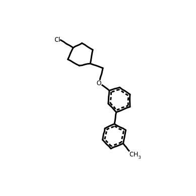 Cc1cccc(-c2cccc(OCC3CCC(Cl)CC3)c2)c1